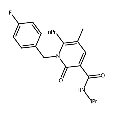 CCCc1c(C)cc(C(=O)NC(C)C)c(=O)n1Cc1ccc(F)cc1